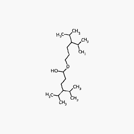 CC(C)C(CCCOC(O)CCC(C(C)C)C(C)C)C(C)C